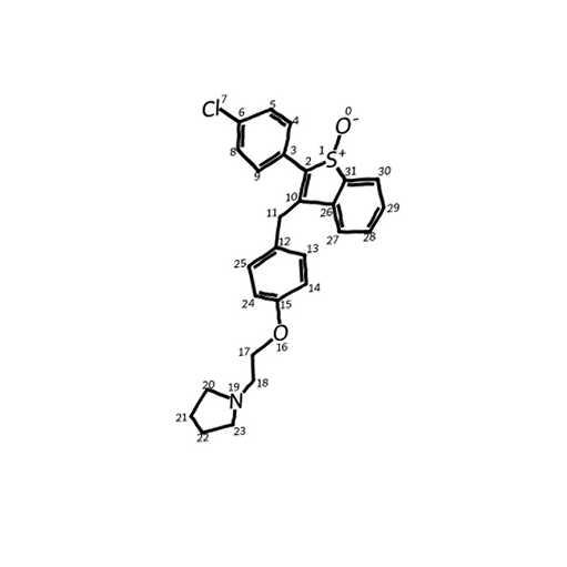 [O-][s+]1c(-c2ccc(Cl)cc2)c(Cc2ccc(OCCN3CCCC3)cc2)c2ccccc21